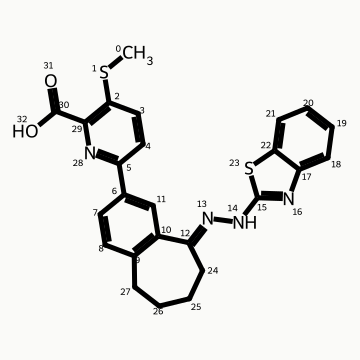 CSc1ccc(-c2ccc3c(c2)/C(=N/Nc2nc4ccccc4s2)CCCC3)nc1C(=O)O